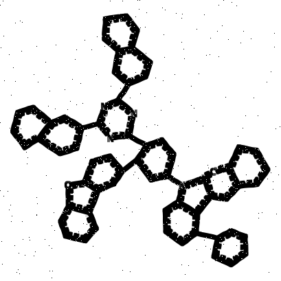 c1ccc(-c2cccc3c2c2cc4ccccc4cc2n3-c2ccc(-c3nc(-c4ccc5ccccc5c4)nc(-c4ccc5ccccc5c4)n3)c(-c3ccc4oc5ccccc5c4c3)c2)cc1